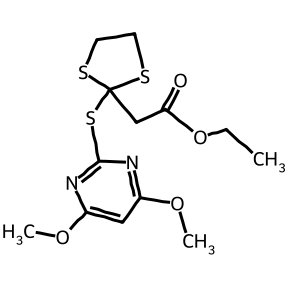 CCOC(=O)CC1(Sc2nc(OC)cc(OC)n2)SCCS1